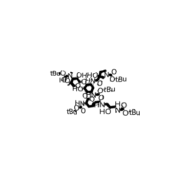 CN(C(=O)OC(C)(C)C)[C@@H]1[C@@H](O)[C@@H](O[C@@H]2[C@@H](O)[C@H](O[C@H]3OC(CNCC(O)CNC(=O)OC(C)(C)C)=CC[C@H]3NC(=O)OC(C)(C)C)[C@@H](NC(=O)OC(C)(C)C)C[C@H]2NC(=O)C2(O)CCN(C(=O)OC(C)(C)C)C2)OC[C@]1(C)O